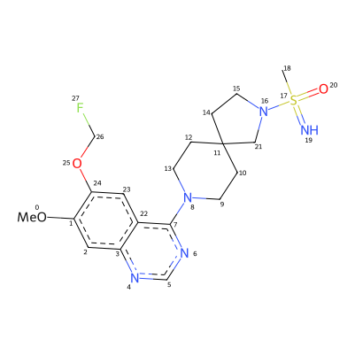 COc1cc2ncnc(N3CCC4(CC3)CCN(S(C)(=N)=O)C4)c2cc1OCF